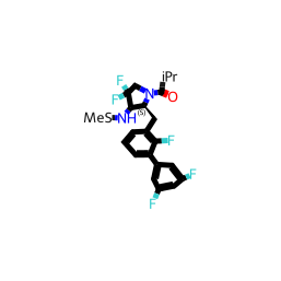 CSNC1[C@H](Cc2cccc(-c3cc(F)cc(F)c3)c2F)N(C(=O)C(C)C)CC1(F)F